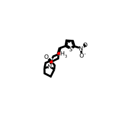 CCC(=O)N1C2CCC1CN(CC=Cc1ccc([N+](=O)[O-])s1)C2